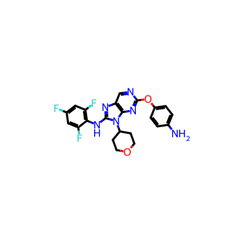 Nc1ccc(Oc2ncc3nc(Nc4c(F)cc(F)cc4F)n(C4CCOCC4)c3n2)cc1